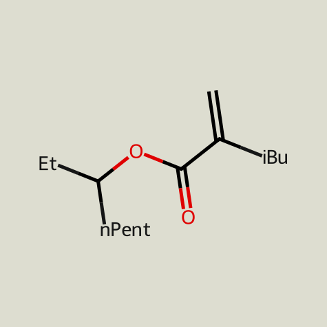 C=C(C(=O)OC(CC)CCCCC)C(C)CC